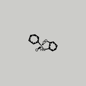 [O]c1ccccc1NS(=O)(=O)c1ccccc1